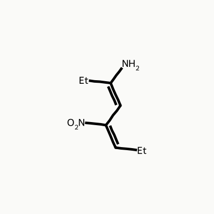 CC/C=C(\C=C(\N)CC)[N+](=O)[O-]